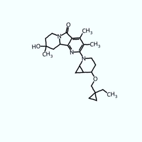 CCC1(COC2CCN(c3nc4c(c(C)c3C)C(=O)N3CCC(C)(O)CC43)C3CC23)CC1